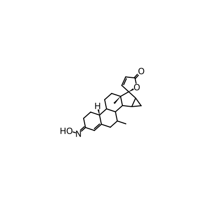 CC1CC2=C/C(=N/O)CC[C@@H]2C2CC[C@@]3(C)C(C4CC4[C@@]34C=CC(=O)O4)C12